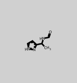 C[C](NC=O)c1cc[nH]n1